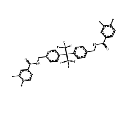 Cc1ccc(C(=O)NCc2ccc(C(c3ccc(CNC(=O)c4ccc(C)c(C)c4)cc3)(C(F)(F)F)C(F)(F)F)cc2)cc1C